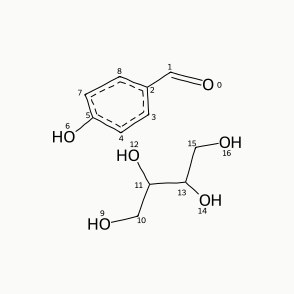 O=Cc1ccc(O)cc1.OCC(O)C(O)CO